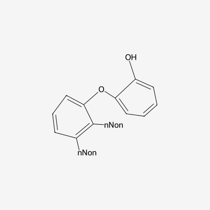 CCCCCCCCCc1cccc(Oc2ccccc2O)c1CCCCCCCCC